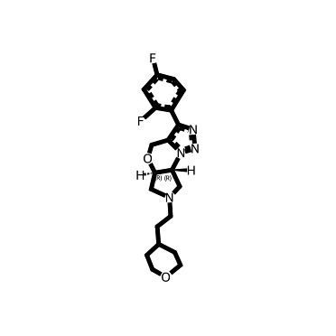 Fc1ccc(-c2nnn3c2CO[C@@H]2CN(CCC4CCOCC4)C[C@H]23)c(F)c1